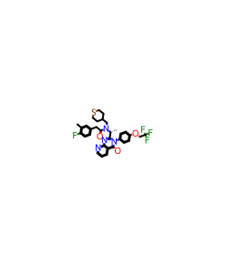 Cc1cc(CC(=O)N(CC2CCSCC2)[C@H](C)c2nc3ncccc3c(=O)n2-c2ccc(OCC(F)(F)F)cc2)ccc1F